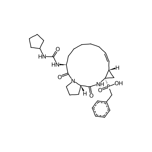 O=C(NC1CCCC1)N[C@H]1CCCCC/C=C\[C@@H]2C[C@@]2(P(=O)(O)Cc2ccccc2)NC(=O)[C@@H]2CCCN2C1=O